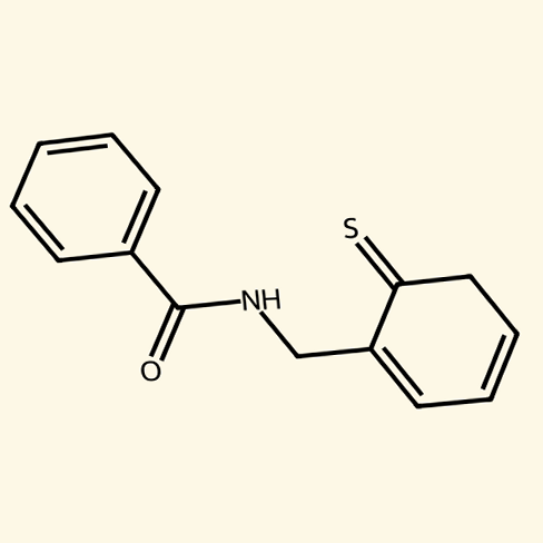 O=C(NCC1=CC=CCC1=S)c1ccccc1